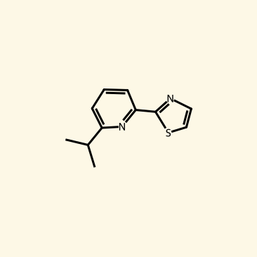 CC(C)c1cccc(-c2nccs2)n1